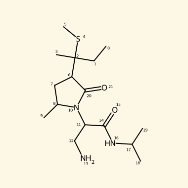 CCC(C)(SC)C1CC(C)N(C(CN)C(=O)NC(C)C)C1=O